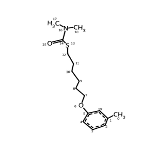 Cc1cccc(OCCCCCCSC(=O)N(C)C)c1